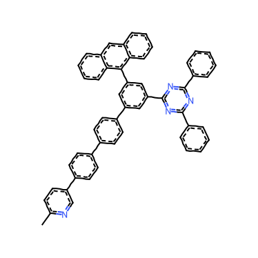 Cc1ccc(-c2ccc(-c3ccc(-c4cc(-c5nc(-c6ccccc6)nc(-c6ccccc6)n5)cc(-c5c6ccccc6cc6ccccc56)c4)cc3)cc2)cn1